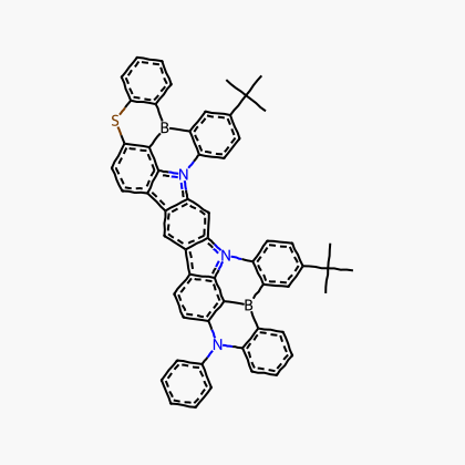 CC(C)(C)c1ccc2c(c1)B1c3ccccc3Sc3ccc4c5cc6c7ccc8c9c7n(c6cc5n-2c4c31)-c1ccc(C(C)(C)C)cc1B9c1ccccc1N8c1ccccc1